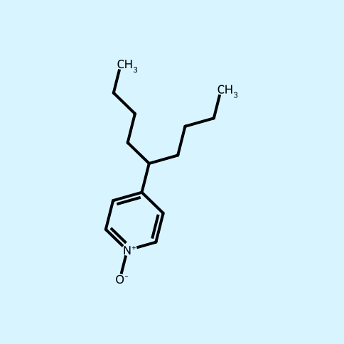 CCCCC(CCCC)c1cc[n+]([O-])cc1